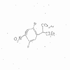 CCOC(=O)C(C(=O)O)c1cc(F)c([N+](=O)[O-])cc1Br